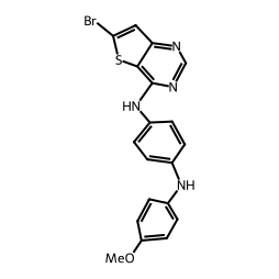 COc1ccc(Nc2ccc(Nc3ncnc4cc(Br)sc34)cc2)cc1